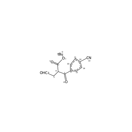 CC(C)(C)OC(=O)C(CC=O)C(=O)c1ccc(C#N)cc1